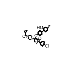 O=C(C1CC1)N1CCN(c2cnn(-c3ccc(Cl)cc3)c(=O)c2Oc2ccc(-c3ccc(F)cc3O)cc2)CC1